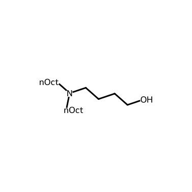 CCCCCCCCN(CCCCO)CCCCCCCC